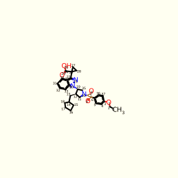 CCOc1ccc(S(=O)(=O)N2C[C@@H](CC3CCCC3)[C@@H](n3nc(C4(C(=O)O)CC4)c4ccccc43)C2)cc1